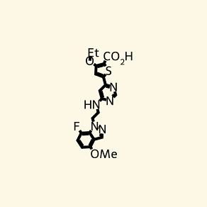 CCOc1cc(-c2cc(NCCn3ncc4c(OC)ccc(F)c43)ncn2)sc1C(=O)O